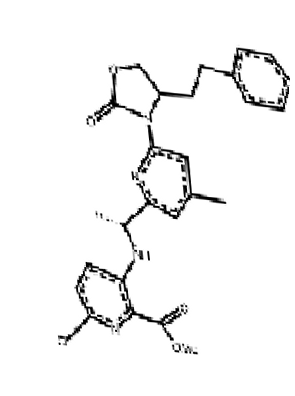 COC(=O)c1nc(Cl)ccc1N[C@H](C)c1cc(C)cc(N2C(=O)OCC2CCc2ccccc2)n1